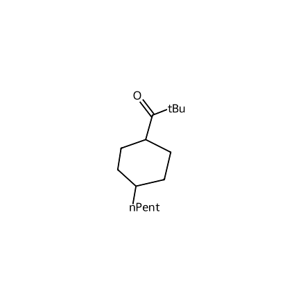 CCCCCC1CCC(C(=O)C(C)(C)C)CC1